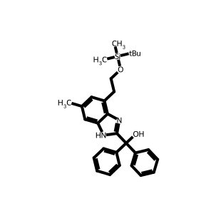 Cc1cc(CCO[Si](C)(C)C(C)(C)C)c2nc(C(O)(c3ccccc3)c3ccccc3)[nH]c2c1